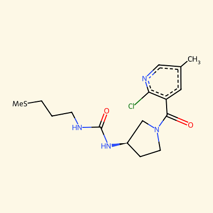 CSCCCNC(=O)N[C@@H]1CCN(C(=O)c2cc(C)cnc2Cl)C1